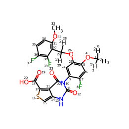 [2H]C([2H])([2H])Oc1cc(F)c(-n2c(=O)[nH]c3csc(C(=O)O)c3c2=O)cc1OC([2H])([2H])c1c(OC)ccc(F)c1F